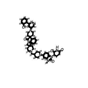 Cn1c(=O)n([C@@H]2CCC(=O)NC2=O)c2ccc(N3CCC(CN4CCC5(CC4)CN(C(=O)C4(c6ccccc6)CCN(c6cnnc(-c7ccccc7O)c6)CC4)C5)CC3)cc21